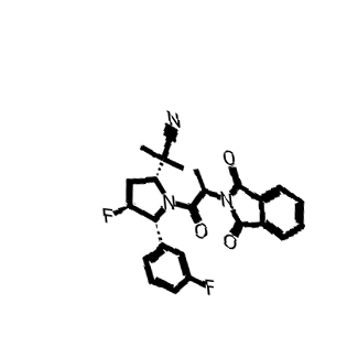 CC(C(=O)N1[C@H](c2cccc(F)c2)[C@@H](F)C[C@@H]1C(C)(C)C#N)N1C(=O)c2ccccc2C1=O